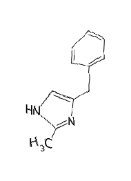 Cc1nc(Cc2ccccc2)c[nH]1